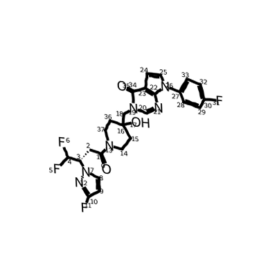 O=C(C[C@@H](C(F)F)n1ccc(F)n1)N1CCC(O)(Cn2cnc3c(ccn3-c3ccc(F)cc3)c2=O)CC1